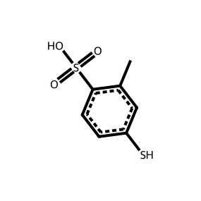 Cc1cc(S)ccc1S(=O)(=O)O